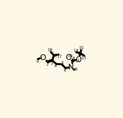 COC=C(CCCN(C)C(=O)OC(C)(C)C)C(C)C